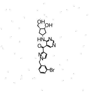 O=C(c1ccn(Cc2cccc(Br)c2)n1)c1cncnc1N[C@@H]1C[C@@H](CO)[C@@H](O)C1